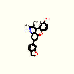 CCC1=C(C(=O)O)C(c2cccc(O)c2)C2=C(CC(c3ccc4c(c3)OCC4)CC2=O)N1